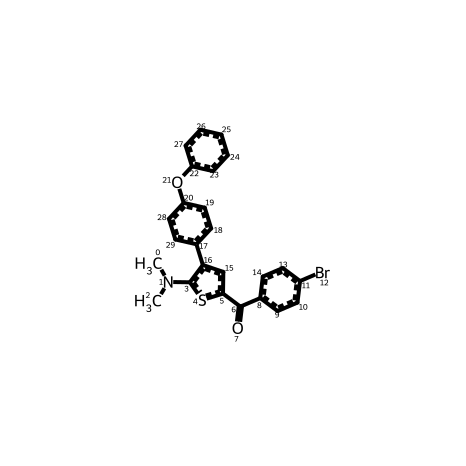 CN(C)c1sc(C(=O)c2ccc(Br)cc2)cc1-c1ccc(Oc2ccccc2)cc1